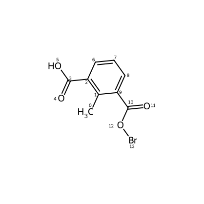 Cc1c(C(=O)O)cccc1C(=O)OBr